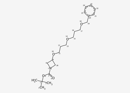 CC(C)(C)OC(=O)N1CC(OCCCOCCCOCc2ccccc2)C1